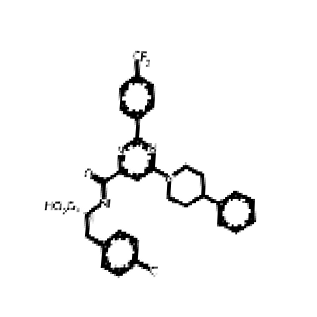 O=C(N[C@H](Cc1ccc(Cl)cc1)C(=O)O)c1cc(N2CCC(c3ccccc3)CC2)nc(-c2ccc(C(F)(F)F)cc2)n1